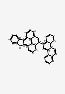 c1ccc2c(c1)ccc1c3ccccc3c(-c3cc4cccc5c6c7ccccc7oc6c6cccc3c6c45)cc21